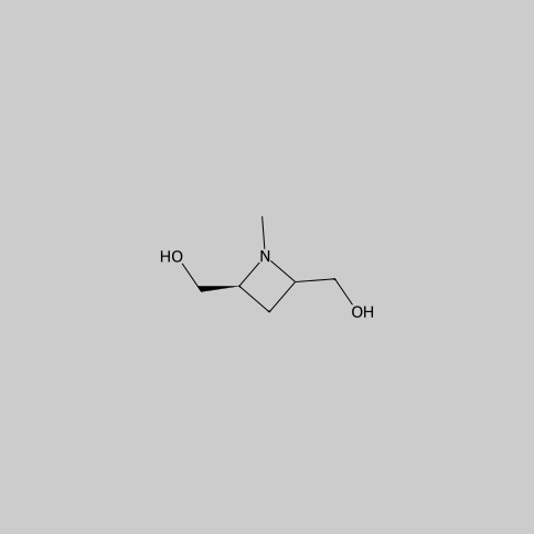 CN1C(CO)C[C@H]1CO